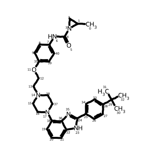 CC1CN1C(=O)Nc1ccc(OCCN2CCN(c3cccc4[nH]c(-c5ccc(C(C)(C)C)cc5)nc34)CC2)cc1